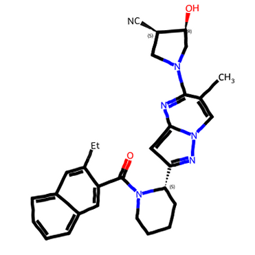 CCc1cc2ccccc2cc1C(=O)N1CCCC[C@H]1c1cc2nc(N3C[C@@H](C#N)[C@@H](O)C3)c(C)cn2n1